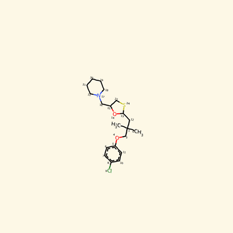 CC(C)(COc1ccc(Cl)cc1)CC1OC(CN2CCCCC2)CS1